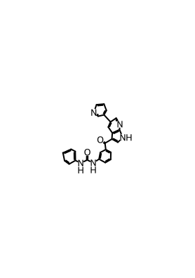 O=C(Nc1ccccc1)Nc1cccc(C(=O)c2c[nH]c3ncc(-c4cccnc4)cc23)c1